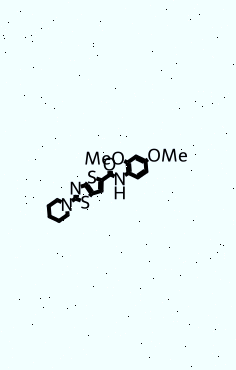 COc1ccc(NC(=O)c2cc3sc(N4CCCCC4)nc3s2)c(OC)c1